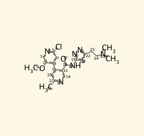 COc1cnc(Cl)cc1-c1cc(C)ncc1C(=O)Nc1nnc(CCN(C)C)s1